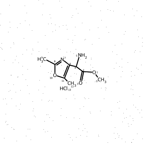 COC(=O)C(N)c1nc(C)oc1C.Cl